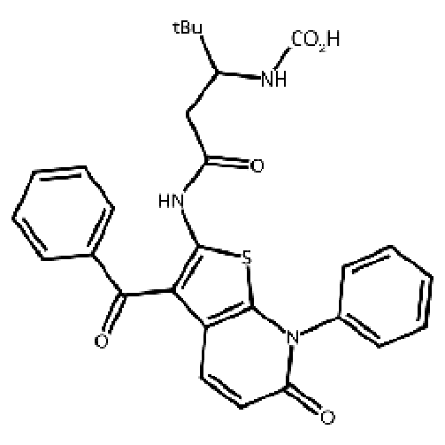 CC(C)(C)C(CC(=O)Nc1sc2c(ccc(=O)n2-c2ccccc2)c1C(=O)c1ccccc1)NC(=O)O